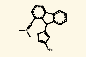 C[Si](C)=[Zr][c]1cccc2c1C(C1=CC(C(C)(C)C)=CC1)c1ccccc1-2